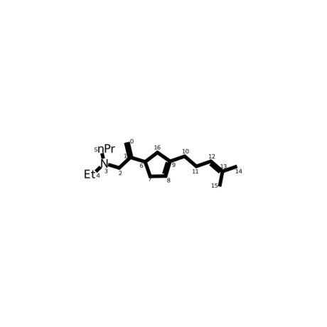 C=C(CN(CC)CCC)C1CC=C(CCC=C(C)C)C1